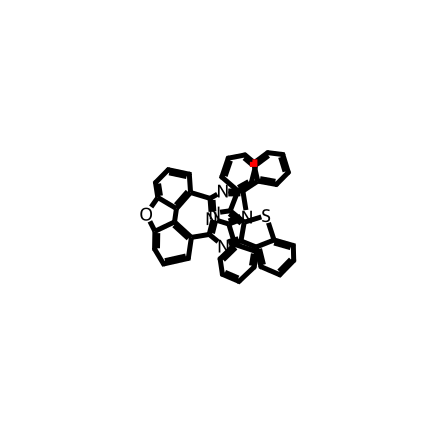 c1ccc(-c2nc(-c3ccccc3)nc(-c3cccc4oc5cccc(-c6nc(-c7ccccc7)c7sc8ccccc8c7n6)c5c34)n2)cc1